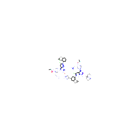 C=C(F)C(=O)N1CCN(c2nc(OC[C@@H]3CC(c4cc5c(c(-c6nc7nc(OCC89CCCN8CCC9)nc(N8CCN(C(=O)C(=C)F)[C@@H](CC#N)C8)c7cc6Cl)c4)C4CC4C5)CN3C)nc3nc(-c4cccc5c4C4CC4C5)c(Cl)cc23)C[C@@H]1CC#N